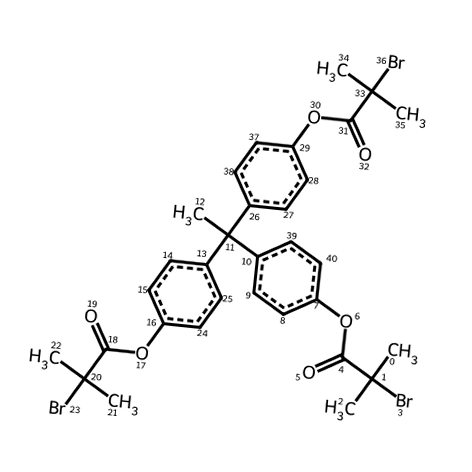 CC(C)(Br)C(=O)Oc1ccc(C(C)(c2ccc(OC(=O)C(C)(C)Br)cc2)c2ccc(OC(=O)C(C)(C)Br)cc2)cc1